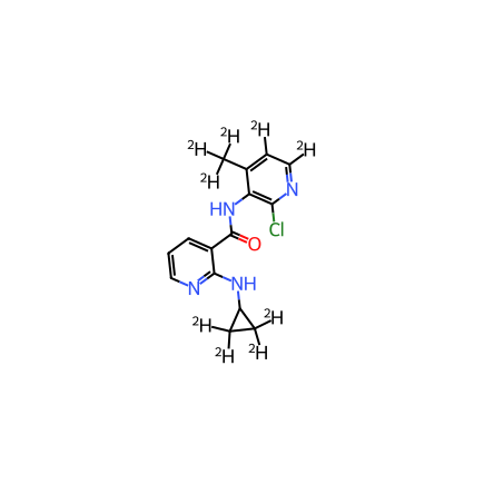 [2H]c1nc(Cl)c(NC(=O)c2cccnc2NC2C([2H])([2H])C2([2H])[2H])c(C([2H])([2H])[2H])c1[2H]